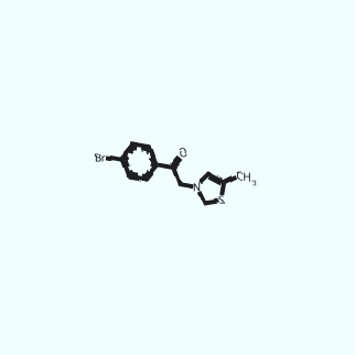 CC1=CN(CC(=O)c2ccc(Br)cc2)CS1